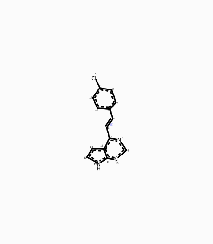 Clc1ccc(/C=C/c2ncnc3[nH]ccc23)cc1